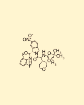 CC(C)(C)OC(=O)NC(C(=O)N1Cc2ccc([N+](=O)[O-])cc2[C@H]1C(=O)Nc1c(F)cccc1F)C1CCOCC1